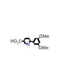 COc1cc(OC)cc(-c2ccc(C(=O)O)cn2)c1